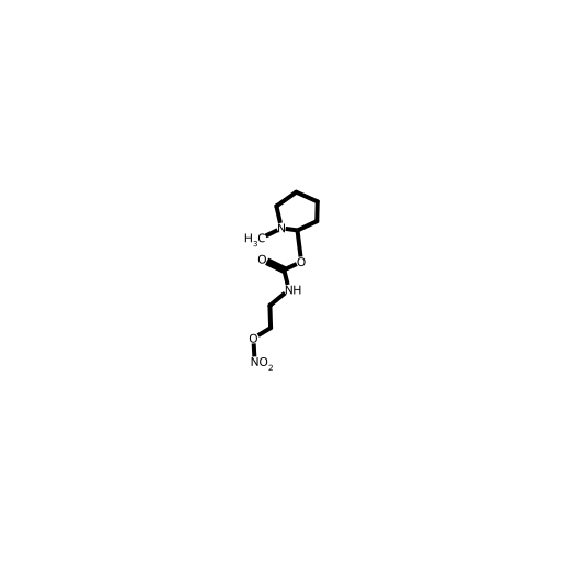 CN1CCCCC1OC(=O)NCCO[N+](=O)[O-]